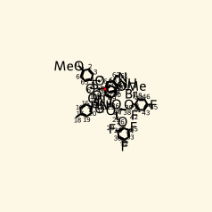 COc1ccc(S(=O)(=O)C(O[N+]2(S(=O)(=O)c3ccc(C)cc3)NC(OCCOc3c(F)cc(F)cc3F)(OCCOc3c(F)cc(F)cc3Br)c3cc(OC)ccc32)c2ccc3[nH]ncc3c2)cc1